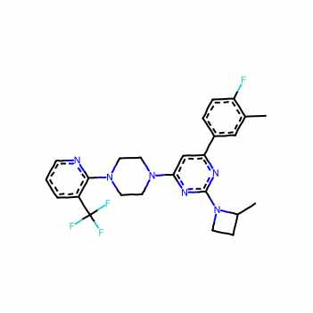 Cc1cc(-c2cc(N3CCN(c4ncccc4C(F)(F)F)CC3)nc(N3CCC3C)n2)ccc1F